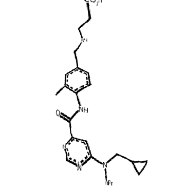 CCCN(CC1CC1)c1cc(C(=O)Nc2ccc(CNCCC(=O)O)cc2C)ncn1